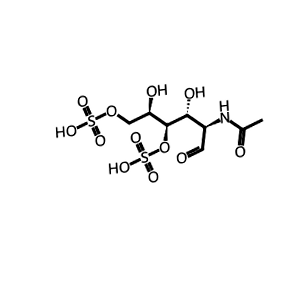 CC(=O)N[C@@H](C=O)[C@@H](O)[C@@H](OS(=O)(=O)O)[C@H](O)COS(=O)(=O)O